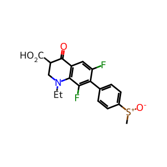 CCN1CC(C(=O)O)C(=O)c2cc(F)c(-c3ccc([S+](C)[O-])cc3)c(F)c21